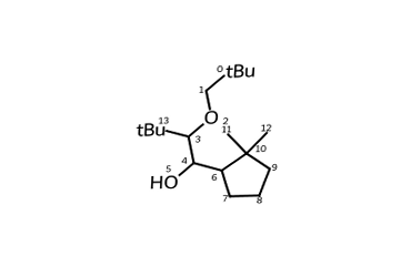 CC(C)(C)COC(C(O)C1CCCC1(C)C)C(C)(C)C